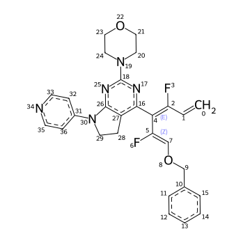 C=C/C(F)=C(\C(F)=C\OCc1ccccc1)c1nc(N2CCOCC2)nc2c1CCN2c1ccncc1